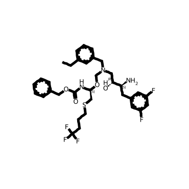 CCc1cccc(CN(CO[C@@H](CSCCCC(F)(F)F)NC(=O)OCc2ccccc2)C[C@@H](O)[C@@H](N)Cc2cc(F)cc(F)c2)c1